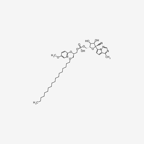 CCCCCCCCCCCCCCCCCCOC[C@H](COP(=O)(O)OC[C@H]1O[C@@](C#N)(c2ccc3c(C)ncnn23)[C@H](O)[C@@H]1O)Oc1ccc(OC)cn1